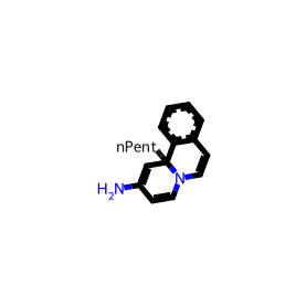 CCCCCC12C=C(N)C=CN1C=Cc1ccccc12